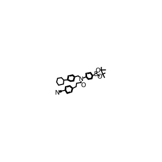 CC1(C)OB(c2ccc(N(Cc3ccc(C4CCCCC4)cc3)C(=O)CCc3ccc(C#N)cc3)cc2)OC1(C)C